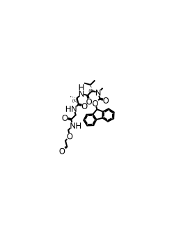 CC(C)[C@@H](C(=O)N[C@@H](C)C(=O)NCC(=O)NCOCC=O)N(C)C(=O)OC1c2ccccc2-c2ccccc21